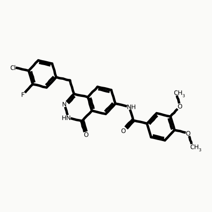 COc1ccc(C(=O)Nc2ccc3c(Cc4ccc(Cl)c(F)c4)n[nH]c(=O)c3c2)cc1OC